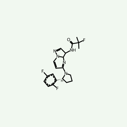 CC(C)(F)C(=O)NC1C=NN2C=CC(N3CCC[C@@H]3c3cc(F)ccc3F)=NC12